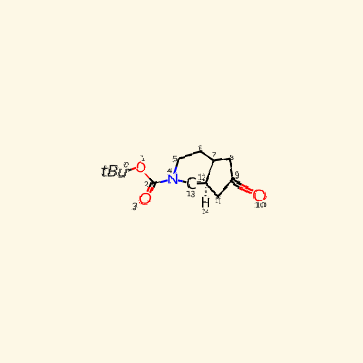 CC(C)(C)OC(=O)N1CCC2CC(=O)C[C@H]2C1